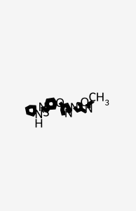 CCC(=O)/N=C\C1CCN(c2cc(Oc3ccc4nc(NC5CCCCC5)sc4c3)ccn2)C1